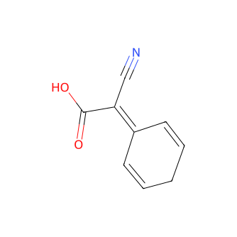 N#CC(C(=O)O)=C1C=CCC=C1